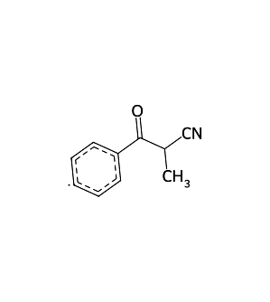 CC(C#N)C(=O)c1cc[c]cc1